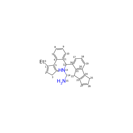 CCC1=CCC=C1c1ccccc1C(NCN)c1cccc2c1CC1=C2CC=C1